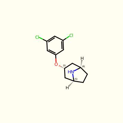 Clc1cc(Cl)cc(O[C@@H]2C[C@H]3CC[C@@H](C2)N3)c1